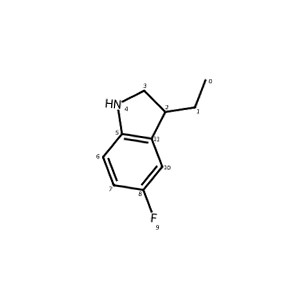 CCC1CNc2ccc(F)cc21